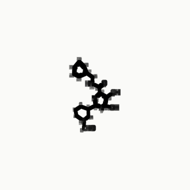 O=CN1CCCC(c2nc(O)c(O)c(C(=O)NCc3ccccc3)n2)C1